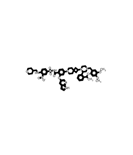 COc1ccc(CN2CCN(C3CC4(CCN(c5ccc(C(=O)NS(=O)(=O)c6ccc(NCC7CCOCC7)c([N+](=O)[O-])c6)c(Oc6cnc7[nH]ccc7c6)c5)CC4)C3)C(c3ccccc3C(C)C)C2)cc1OC